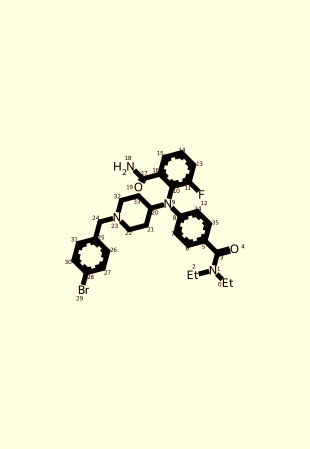 CCN(CC)C(=O)c1ccc(N(c2c(F)cccc2C(N)=O)C2CCN(Cc3ccc(Br)cc3)CC2)cc1